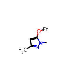 CCOc1[c]c(C(F)(F)F)nn1C